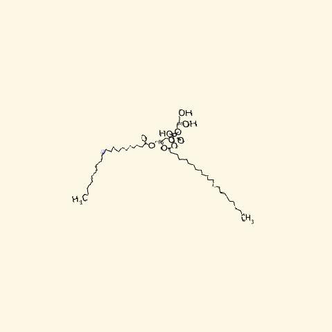 CCCCCCCC/C=C\CCCCCCCCCC(=O)OC[C@H](COP(=O)(O)OC[C@@H](O)CO)OC(=O)CCCCCCCCCCCCCCCCCCCCC